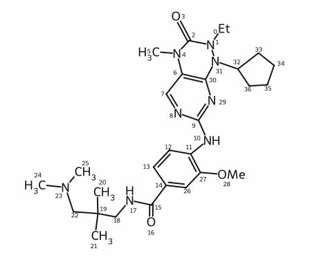 CCN1C(=O)N(C)c2cnc(Nc3ccc(C(=O)NCC(C)(C)CN(C)C)cc3OC)nc2N1C1CCCC1